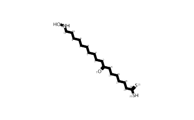 O=C(CCCCCCCCCCNO)CCCCCCC(=S)S